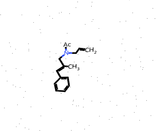 C=CCN(C/C(C)=C/c1ccccc1)C(C)=O